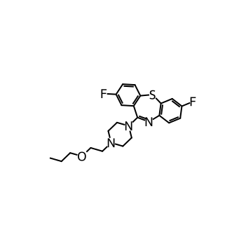 CCCOCCN1CCN(C2=Nc3ccc(F)cc3Sc3ccc(F)cc32)CC1